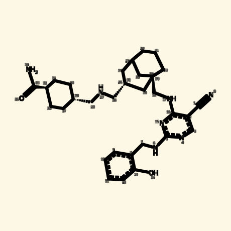 N#Cc1cnc(NCc2ccccc2O)nc1NC[C@@]12CCCC(C[C@@H](CNC[C@H]3CC[C@H](C(N)=O)CC3)C1)C2